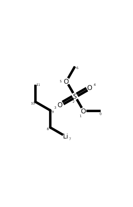 COS(=O)(=O)OC.[Li][CH2]CCC